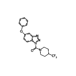 O=C(N1CCC(C(F)(F)F)CC1)n1nnc2cc(Oc3ccccc3)ccc21